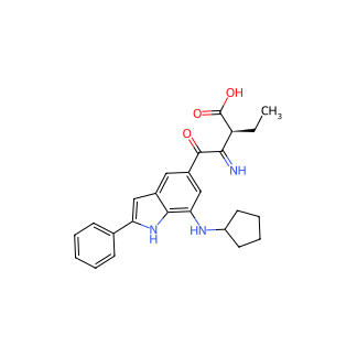 CC[C@@H](C(=N)C(=O)c1cc(NC2CCCC2)c2[nH]c(-c3ccccc3)cc2c1)C(=O)O